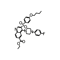 CCCCOc1ccc(S(=O)(=O)c2cnc3ccc(C(=O)OCC)cc3c2N2CCN(c3ccc(F)cc3)CC2)cc1